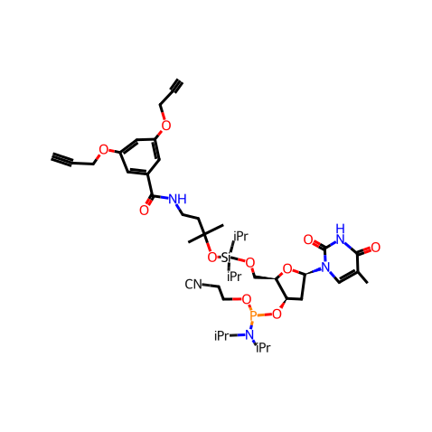 [C-]#[N+]CCOP(O[C@@H]1C[C@H](n2cc(C)c(=O)[nH]c2=O)O[C@@H]1CO[Si](OC(C)(C)CCNC(=O)c1cc(OCC#C)cc(OCC#C)c1)(C(C)C)C(C)C)N(C(C)C)C(C)C